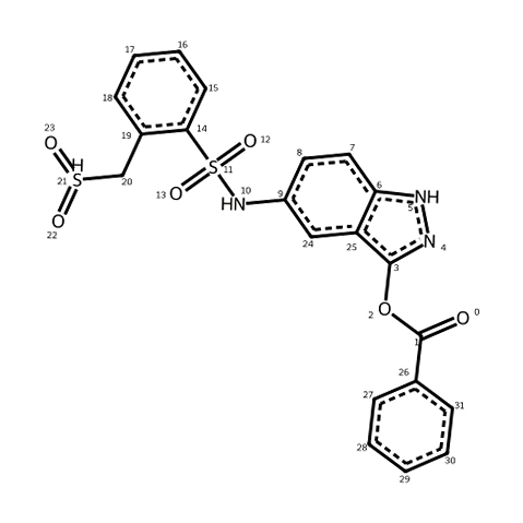 O=C(Oc1n[nH]c2ccc(NS(=O)(=O)c3ccccc3C[SH](=O)=O)cc12)c1ccccc1